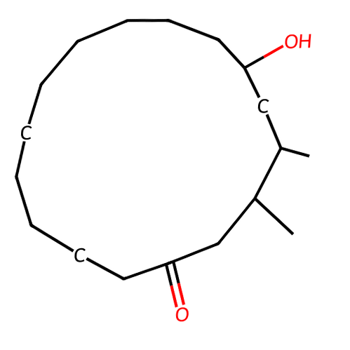 CC1CC(=O)CCCCCCCCCCC(O)CC1C